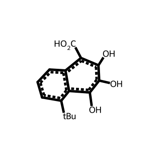 CC(C)(C)c1cccc2c(C(=O)O)c(O)c(O)c(O)c12